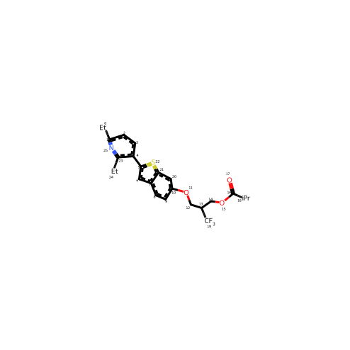 CCc1ccc(-c2cc3ccc(OCC(COC(=O)C(C)C)C(F)(F)F)cc3s2)c(CC)n1